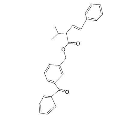 CC(C)C(/C=C/c1ccccc1)C(=O)OCc1cccc(C(=O)c2ccccc2)c1